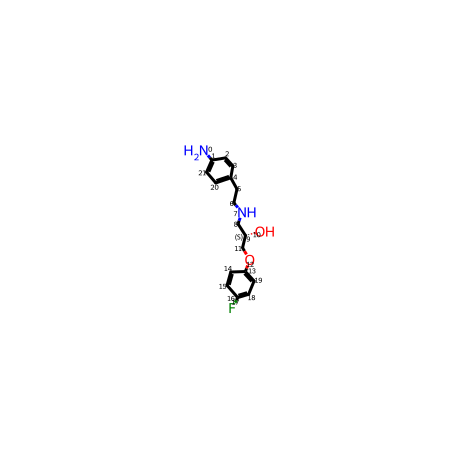 Nc1ccc(CCNC[C@H](O)COc2ccc(F)cc2)cc1